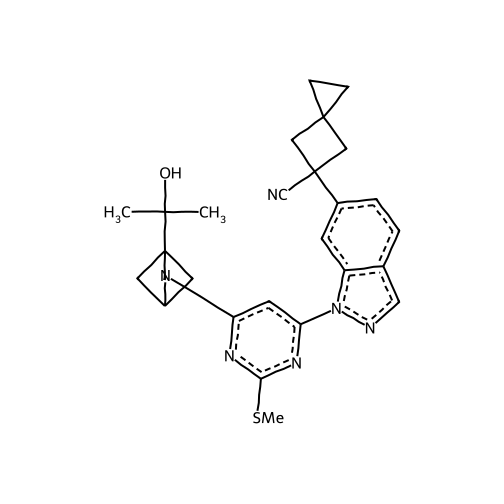 CSc1nc(N2CC3(C(C)(C)O)CC2C3)cc(-n2ncc3ccc(C4(C#N)CC5(CC5)C4)cc32)n1